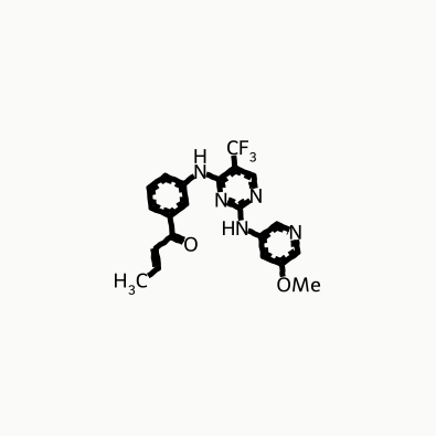 C/C=C/C(=O)c1cccc(Nc2nc(Nc3cncc(OC)c3)ncc2C(F)(F)F)c1